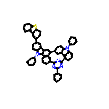 c1ccc(-c2nc(-c3ccccc3)nc(-c3cccc4c3c3cc(-c5ccc6c(c5)c5cc(-c7ccc8sc9ccccc9c8c7)ccc5n6-c5ccccc5)ccc3n4-c3ccccc3)n2)cc1